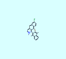 Cc1c2c(c(C)c3ccccc13)-c1c3c(c4ccc(F)cc4cc3cc[n+]1C)S2